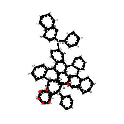 c1ccc(N(c2ccccc2)c2ccc3c(-c4ccccc4-c4cccc5ccccc45)c4cc(N(c5ccccc5)c5ccc6ccccc6c5)ccc4c(-c4ccccc4-c4cccc5ccccc45)c3c2)cc1